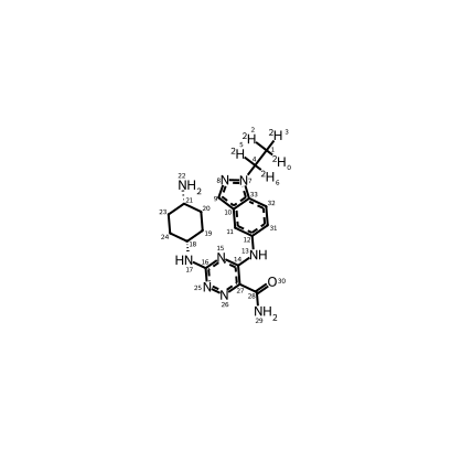 [2H]C([2H])([2H])C([2H])([2H])n1ncc2cc(Nc3nc(N[C@H]4CC[C@@H](N)CC4)nnc3C(N)=O)ccc21